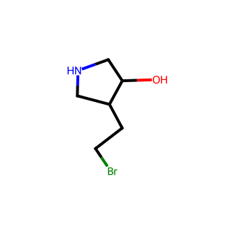 OC1CNCC1CCBr